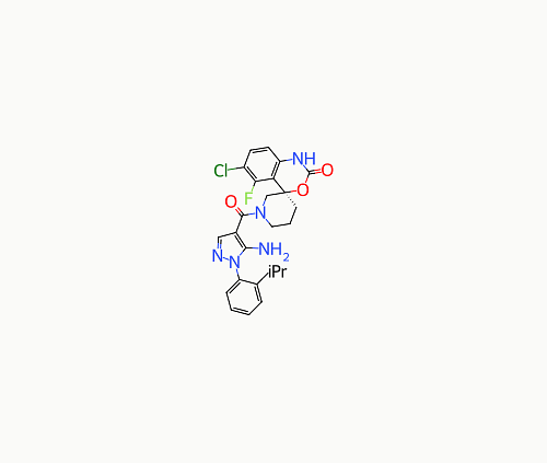 CC(C)c1ccccc1-n1ncc(C(=O)N2CCC[C@@]3(C2)OC(=O)Nc2ccc(Cl)c(F)c23)c1N